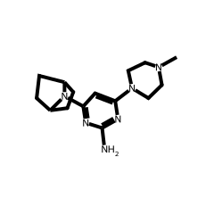 CN1CCN(c2cc(N3C4CCC3CC4)nc(N)n2)CC1